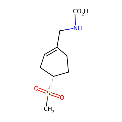 CS(=O)(=O)[C@@H]1CC=C(CNC(=O)O)CC1